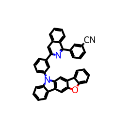 N#Cc1cccc(-c2nc(-c3cccc(-n4c5ccccc5c5cc6oc7ccccc7c6cc54)c3)cc3ccccc23)c1